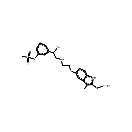 CCOC(=O)Oc1[nH]c2ccc(OCCNC[C@H](O)c3cccc(NS(C)(=O)=O)c3)cc2c1C